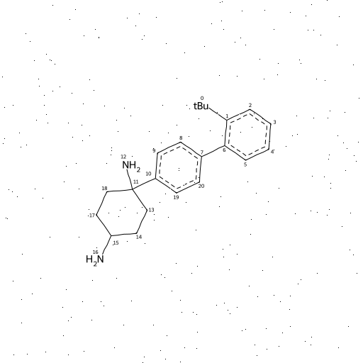 CC(C)(C)c1ccccc1-c1ccc(C2(N)CCC(N)CC2)cc1